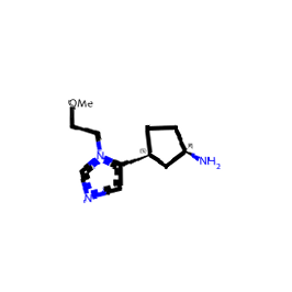 COCCn1cncc1[C@H]1CC[C@@H](N)C1